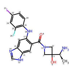 C[C@H](N)C1(O)CN(C(=O)c2cc3[nH]cnc3cc2Nc2ccc(I)cc2F)C1